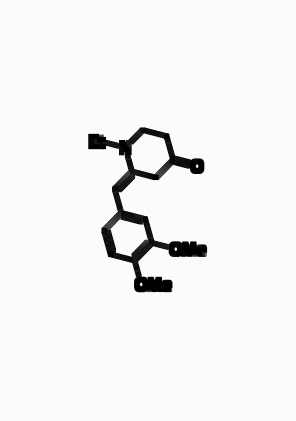 CCN1CCC(=O)C/C1=C\c1ccc(OC)c(OC)c1